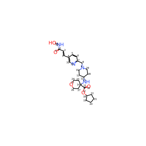 O=C(/C=C/c1ccc(CN2CCC(NC3(C(=O)OC4CCCC4)CCOCC3)CC2)nc1)NO